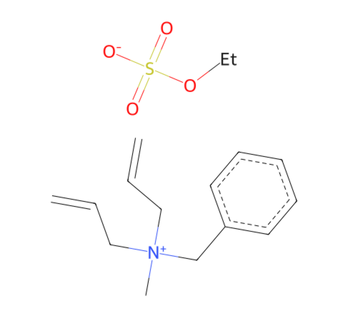 C=CC[N+](C)(CC=C)Cc1ccccc1.CCOS(=O)(=O)[O-]